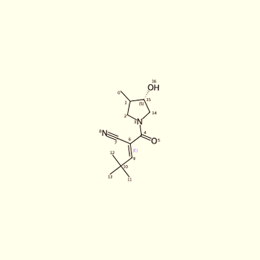 CC1CN(C(=O)/C(C#N)=C/C(C)(C)C)C[C@H]1O